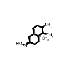 CC1CC=C2CC(=NO)CC[C@]2(C)C1C